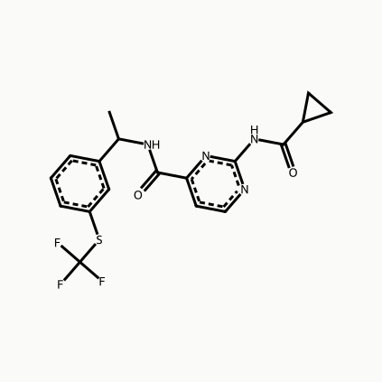 CC(NC(=O)c1ccnc(NC(=O)C2CC2)n1)c1cccc(SC(F)(F)F)c1